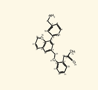 NCc1ccnc(-c2cc(COc3ccccc3CC(=O)O)cc3c2OCC=C3)c1